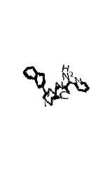 NC(c1ccccn1)c1ccc2ncc(-c3ccc4ccccc4c3)n2n1